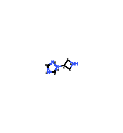 c1ncn(C2CNC2)n1